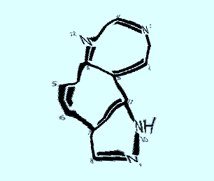 c1ncc2c(ccc3cn[nH]c32)n1